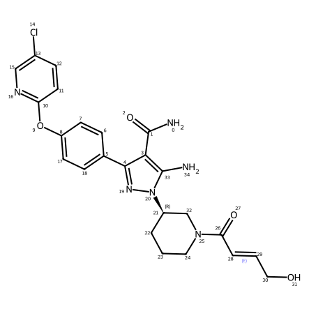 NC(=O)c1c(-c2ccc(Oc3ccc(Cl)cn3)cc2)nn([C@@H]2CCCN(C(=O)/C=C/CO)C2)c1N